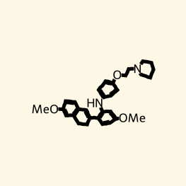 COc1ccc2c(c1)CCC(c1ccc(OC)cc1Nc1ccc(OCCN3CCCCC3)cc1)=C2